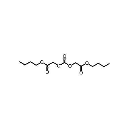 CCCCOC(=O)COC(=O)OCC(=O)OCCCC